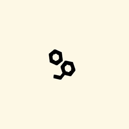 C=Cc1ccccc1.c1ccccc1